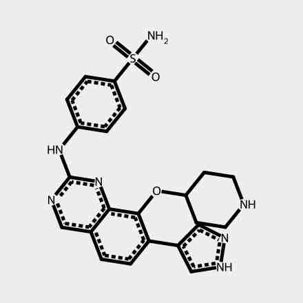 NS(=O)(=O)c1ccc(Nc2ncc3ccc(-c4cn[nH]c4)c(OC4CCNCC4)c3n2)cc1